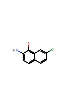 Nc1ccc2ccc(Cl)cc2c1Br